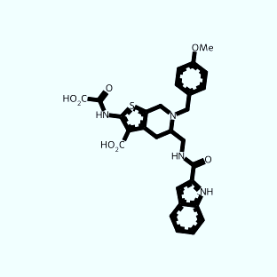 COc1ccc(CN2Cc3sc(NC(=O)C(=O)O)c(C(=O)O)c3CC2CNC(=O)c2cc3ccccc3[nH]2)cc1